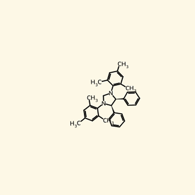 Cc1cc(C)c(N2CN(c3c(C)cc(C)cc3C)[C@@H](c3ccccc3)[C@H]2c2ccccc2)c(C)c1